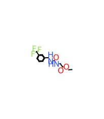 CCOC(=O)CNC(=O)NCc1cccc(C(F)(F)F)c1